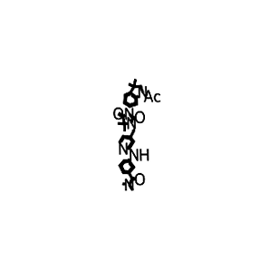 CC(=O)N1CC(C)(C)c2ccc(N3C(=O)N(Cc4ccnc(Nc5cccc(C(=O)N(C)C)c5)c4)C(C)(C)C3=O)cc21